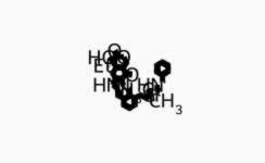 CC[C@@]1(O)C(=O)OCC2=C1CC1=C(C2=O)N2Cc3c(cccc3CC[Si](C)(C)CNCc3ccccc3)C=C2N1